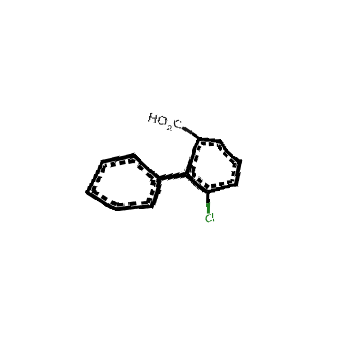 O=C(O)c1cccc(Cl)c1-c1ccccc1